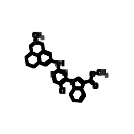 COC(=O)c1cn(-c2nc(Nc3cc4c5c(c3)CN(C)CC5CCC4)ncc2Cl)c2c1C=CCC2